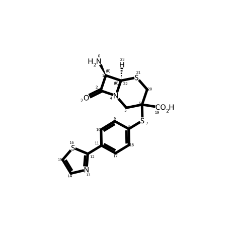 N[C@@H]1C(=O)N2CC(Sc3ccc(-c4nccs4)cc3)(C(=O)O)CS[C@H]12